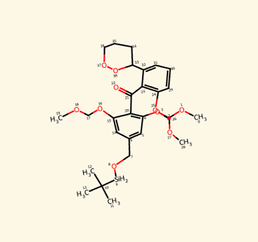 COCOc1cc(CO[SiH2]C(C)(C)C)cc(OCOC)c1C(=O)c1c(OCOC)cccc1C1CCCOO1